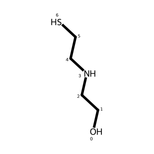 OCCNCCS